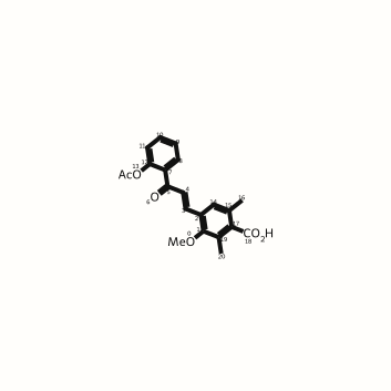 COc1c(C=CC(=O)c2ccccc2OC(C)=O)cc(C)c(C(=O)O)c1C